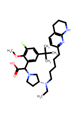 CCN(CCCCCc1ccc2c(n1)NCCC2)[C@@H]1CCN(C(C(=O)O)c2cc(C(C)(C)C)cc(F)c2OC)C1